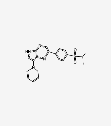 CC(C)S(=O)(=O)c1ccc(-c2cnc3[nH]cc(N4C=CC=CC4)c3n2)cc1